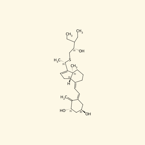 C=C1C(=CC=C2CCC[C@]3(C)C([C@H](C)SC[C@@H](O)C(CC)CC)=CC[C@@H]23)C[C@@H](O)C[C@@H]1O